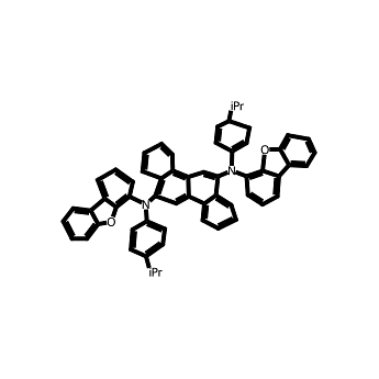 CC(C)c1ccc(N(c2cc3c4ccccc4c(N(C4=CCC(C(C)C)C=C4)c4cccc5c4oc4ccccc45)cc3c3ccccc23)c2cccc3c2oc2ccccc23)cc1